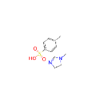 CN1C=NCC1.Cc1ccc(S(=O)(=O)O)cc1